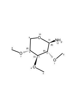 CO[C@@H]1[C@@H](OC)[C@H](OC)CO[C@H]1N